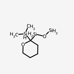 C[SiH](C)C1([SiH2]O[SiH3])CCCCO1